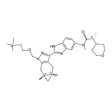 C[C@@H](C(=O)N(C)c1ccc2[nH]c(-c3nn(COCC[Si](C)(C)C)c4c3C[C@@H]3C[C@]3(C)C4)nc2c1)C1CCOCC1